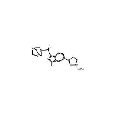 CO[C@H]1CCN(c2ccc3c(C(=O)N4CCN5CCC4CC5)n[nH]c3c2)C1